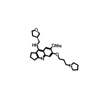 COc1cc2c(NC[C@H]3CCOC3)c3c(nc2cc1OCCCN1CCCC1)CCC3